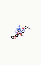 CCC(=O)N1CCC[C@@H](N(C(=O)CC)c2n[nH]c3ncnc(Oc4ccc(Oc5ccccc5)cc4)c23)C1